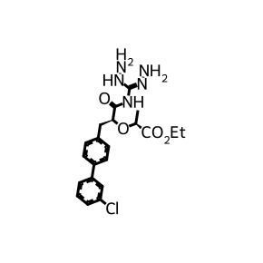 CCOC(=O)[C@H](C)O[C@@H](Cc1ccc(-c2cccc(Cl)c2)cc1)C(=O)N/C(=N/N)NN